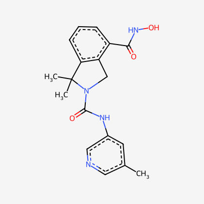 Cc1cncc(NC(=O)N2Cc3c(C(=O)NO)cccc3C2(C)C)c1